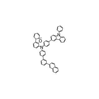 CC12C=CC=CC1c1cccc(N(c3ccc(-c4cccc(-c5ccc6ccccc6c5)c4)cc3)c3ccc(-c4ccc5c(c4)c4ccccc4n5-c4ccccc4)cc3)c1O2